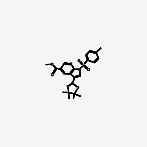 COC(=O)c1cnc2c(c1)c(B1OC(C)(C)C(C)(C)O1)cn2S(=O)(=O)c1ccc(C)cc1